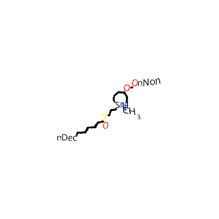 CCCCCCCCCCCCCCCC(=O)SCCC[SiH]1CCCC(OCOCCCCCCCCC)CCN1C